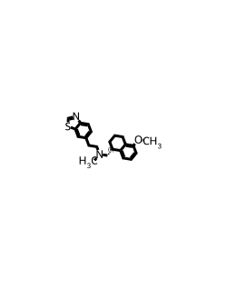 COc1cccc2c1CCC[C@H]2CN(C)CCc1ccc2ncsc2c1